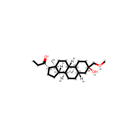 CCC(=O)[C@H]1CC[C@H]2[C@@H]3CC[C@H]4C[C@@](O)(COC)CC[C@]4(C)[C@H]3CC[C@]12C